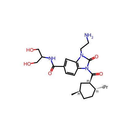 CC(C)[C@@H]1CC[C@@H](C)C[C@H]1C(=O)n1c(=O)n(CCN)c2cc(C(=O)NC(CO)CO)ccc21